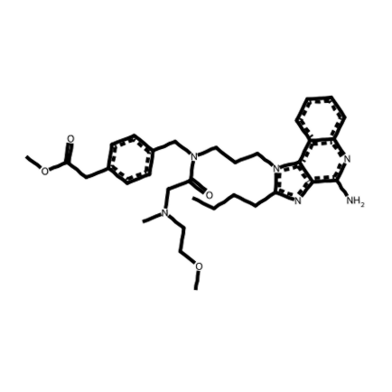 CCCCc1nc2c(N)nc3ccccc3c2n1CCCN(Cc1ccc(CC(=O)OC)cc1)C(=O)CN(C)CCOC